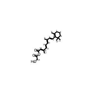 CC(C=CC1=C(C)CCCC1(C)C)=CC=CC(C)=CC(=O)OC(=O)CO